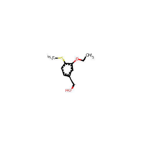 CCOc1cc([CH]O)ccc1SC